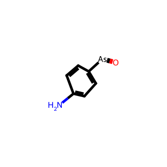 Nc1ccc([As]=O)cc1